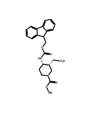 CC(C)(C)OC(=O)N1CC[C@H](NC(=O)OCC2c3ccccc3-c3ccccc32)[C@H](CC(=O)O)C1